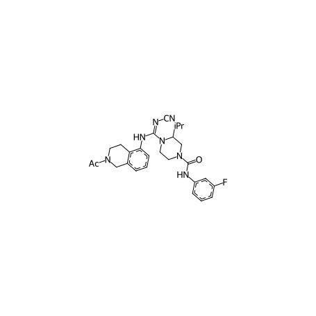 CC(=O)N1CCc2c(cccc2N/C(=N/C#N)N2CCN(C(=O)Nc3cccc(F)c3)CC2C(C)C)C1